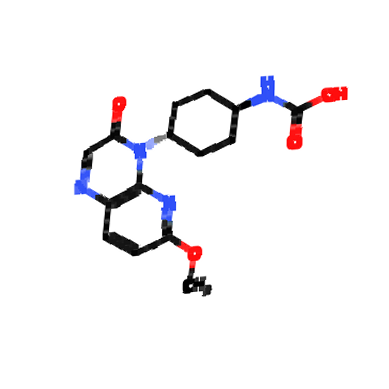 COc1ccc2ncc(=O)n([C@H]3CC[C@H](NC(=O)O)CC3)c2n1